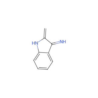 C=C1Nc2ccccc2C1=N